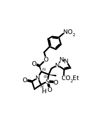 CCOC(=O)c1cnnn1C[C@@]1(C)[C@H](C(=O)OCc2ccc([N+](=O)[O-])cc2)N2C(=O)C[C@@H]2S1(=O)=O